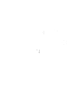 O=C(O)C1CCN(Cc2ccccc2)CC1O